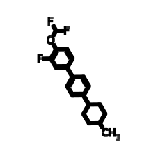 CC1CCC(c2ccc(-c3ccc(OC(F)F)c(F)c3)cc2)CC1